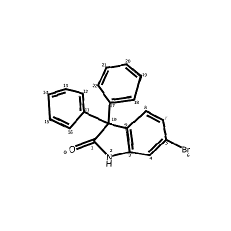 O=C1Nc2cc(Br)ccc2C1(c1ccccc1)c1ccccc1